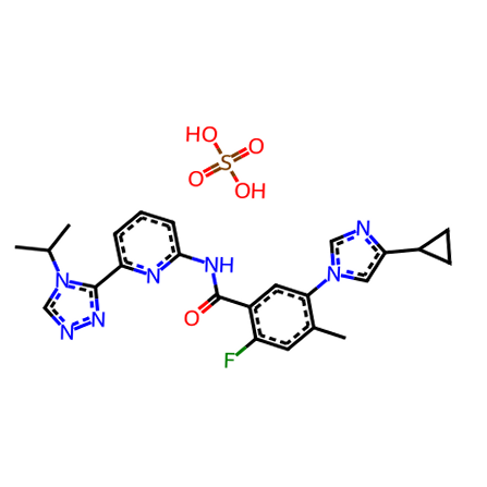 Cc1cc(F)c(C(=O)Nc2cccc(-c3nncn3C(C)C)n2)cc1-n1cnc(C2CC2)c1.O=S(=O)(O)O